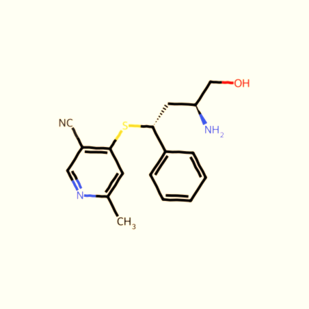 Cc1cc(S[C@H](C[C@H](N)CO)c2ccccc2)c(C#N)cn1